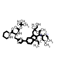 C=C/C(=C(\N=C/C)[C@H](C)OC)c1c(CC(C)(C)CO)c2cc(-c3csc(C[C@H](NC(=O)OC(C)(C)C)C(=O)N4CCCCN4)n3)ccc2n1CC